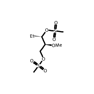 CC[C@H](OS(C)(=O)=O)[C@H](COS(C)(=O)=O)OC